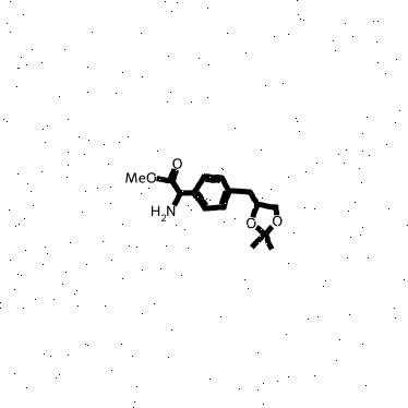 COC(=O)C(N)c1ccc(CC2COC(C)(C)O2)cc1